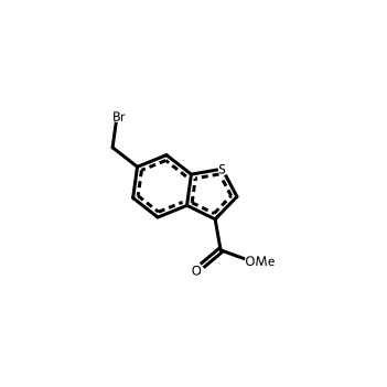 COC(=O)c1csc2cc(CBr)ccc12